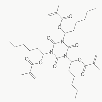 C=C(C)C(=O)OC(CCCCC)n1c(=O)n(C(CCCCC)OC(=O)C(=C)C)c(=O)n(C(CCCCC)OC(=O)C(=C)C)c1=O